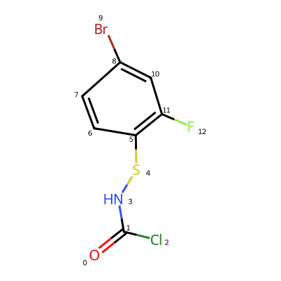 O=C(Cl)NSc1ccc(Br)cc1F